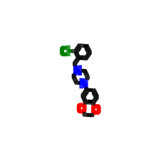 Clc1ccccc1CN1CCN(c2ccc3c(c2)OCCO3)CC1